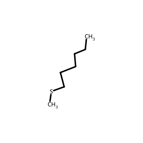 CCCCCCSC